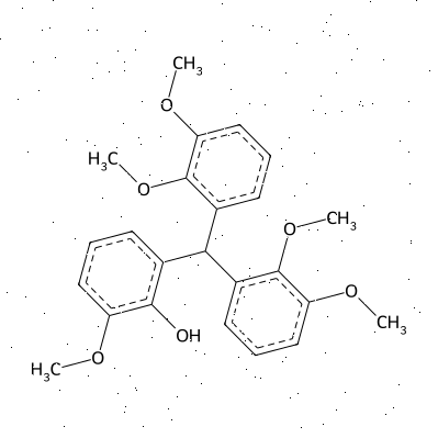 COc1cccc(C(c2cccc(OC)c2OC)c2cccc(OC)c2OC)c1O